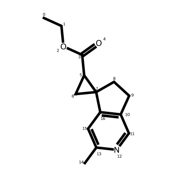 CCOC(=O)C1CC12CCc1cnc(C)cc12